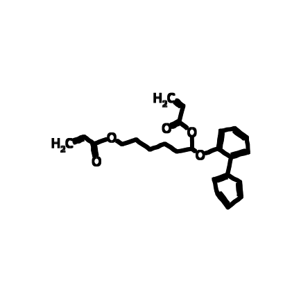 C=CC(=O)OCCCCCC(OC(=O)C=C)Oc1ccccc1-c1ccccc1